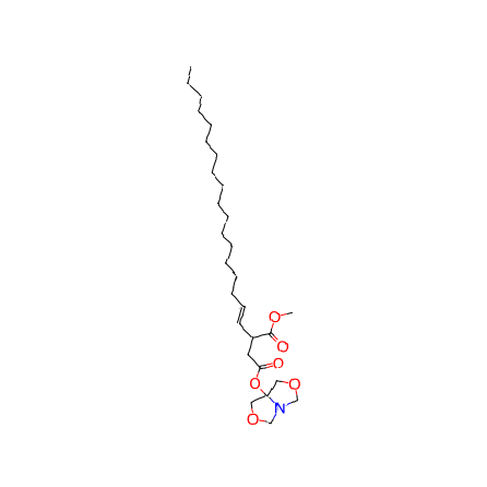 CCCCCCCCCCCCCCCCC=CC(CC(=O)OC12COCN1COC2)C(=O)OC